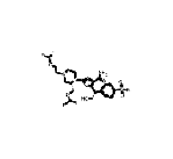 CCS(=O)(=O)c1ccc([C@H](CC#N)c2nc(N3CCN(CCOC(F)F)C[C@H]3COC(F)F)sc2C(N)=O)cc1